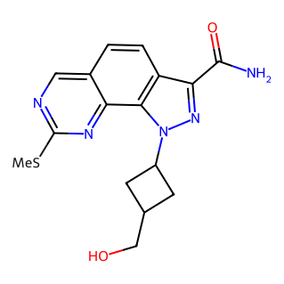 CSc1ncc2ccc3c(C(N)=O)nn(C4CC(CO)C4)c3c2n1